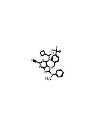 CC(Nc1nc(C#N)nc2nc(N(C)c3ccccc3)n(Cc3ccc(C(F)(F)F)cc3)c12)C1CCC1